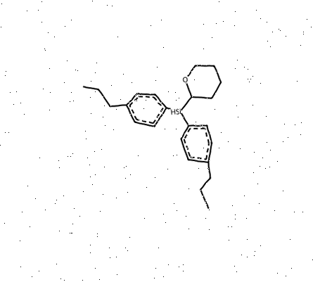 CCCc1ccc([SiH](c2ccc(CCC)cc2)C2CCCCO2)cc1